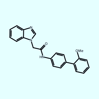 COc1ccccc1-c1ccc(NC(=O)Cn2cnc3ccccc32)cc1